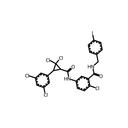 O=C(NCc1ccc(I)cc1)c1cc(NC(=O)C2C(c3cc(Cl)cc(Cl)c3)C2(Cl)Cl)ccc1Cl